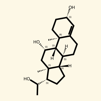 CC(O)[C@H]1CC[C@H]2[C@@H]3CCC4=C[C@@H](O)CC[C@]4(C)[C@H]3[C@@H](O)C[C@]12C